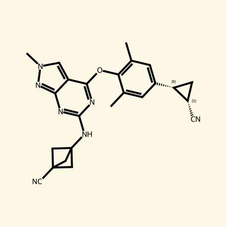 Cc1cc([C@@H]2C[C@@H]2C#N)cc(C)c1Oc1nc(NC23CC(C#N)(C2)C3)nc2nn(C)cc12